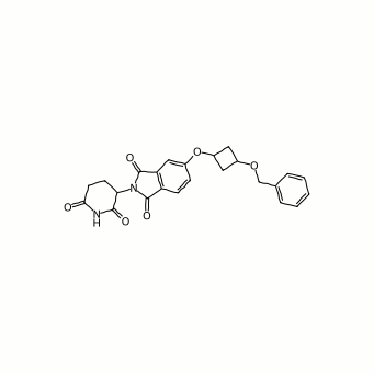 O=C1CCC(N2C(=O)c3ccc(OC4CC(OCc5ccccc5)C4)cc3C2=O)C(=O)N1